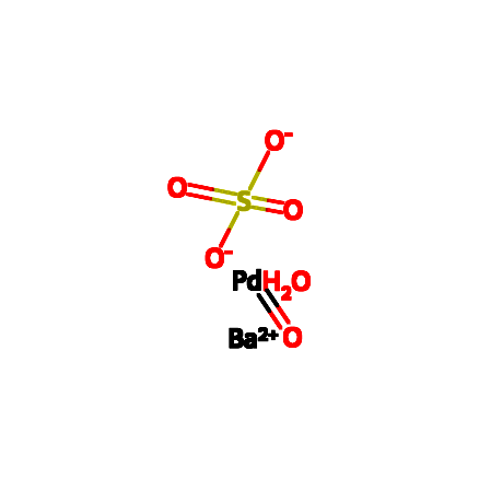 O.O=S(=O)([O-])[O-].[Ba+2].[O]=[Pd]